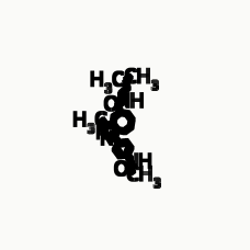 CC(=O)Nc1ccc(-c2nnc(C)c3c2CCCCC(C(=O)NCCC(C)C)C3)cc1